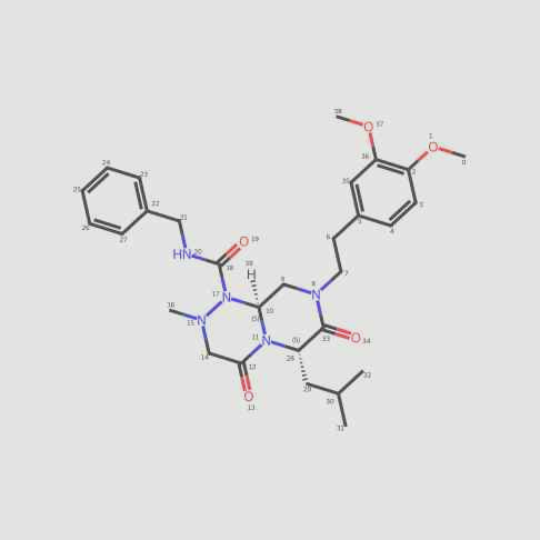 COc1ccc(CCN2C[C@H]3N(C(=O)CN(C)N3C(=O)NCc3ccccc3)[C@@H](CC(C)C)C2=O)cc1OC